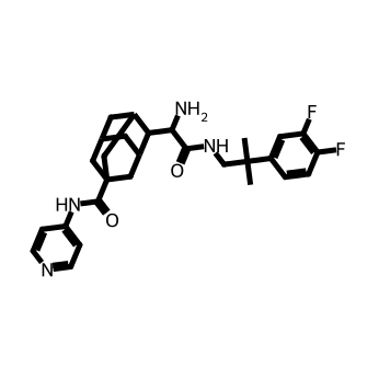 CC(C)(CNC(=O)C(N)C1C2CC3CC1CC(C(=O)Nc1ccncc1)(C3)C2)c1ccc(F)c(F)c1